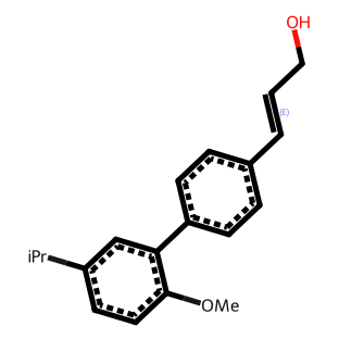 COc1ccc(C(C)C)cc1-c1ccc(/C=C/CO)cc1